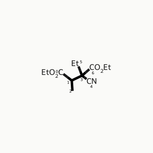 CCOC(=O)C(C)C(C#N)(CC)C(=O)OCC